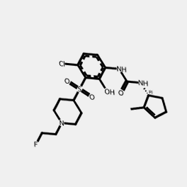 CC1=CCC[C@H]1NC(=O)Nc1ccc(Cl)c(S(=O)(=O)C2CCN(CCF)CC2)c1O